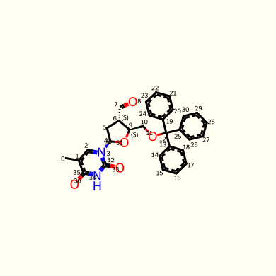 Cc1cn([C@H]2C[C@H](C=O)[C@@H](COC(c3ccccc3)(c3ccccc3)c3ccccc3)O2)c(=O)[nH]c1=O